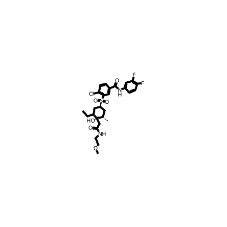 CCC1C[C@@H](S(=O)(=O)c2cc(C(=O)Nc3ccc(F)c(F)c3)ccc2Cl)C[C@H](C)[C@@]1(O)CC(=O)NCCOC